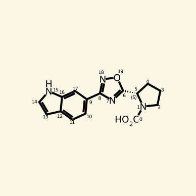 O=C(O)N1CCC[C@H]1c1nc(-c2ccc3cc[nH]c3c2)no1